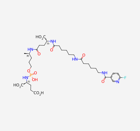 C[C@H](CCCOP(=O)(O)N[C@@H](CCC(=O)O)C(=O)O)NC(=O)CC[C@H](NC(=O)CCCCCNC(=O)CCCCCNC(=O)c1ccc(F)nc1)C(=O)O